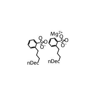 CCCCCCCCCCCCCc1ccccc1S(=O)(=O)[O-].CCCCCCCCCCCCCc1ccccc1S(=O)(=O)[O-].[Mg+2]